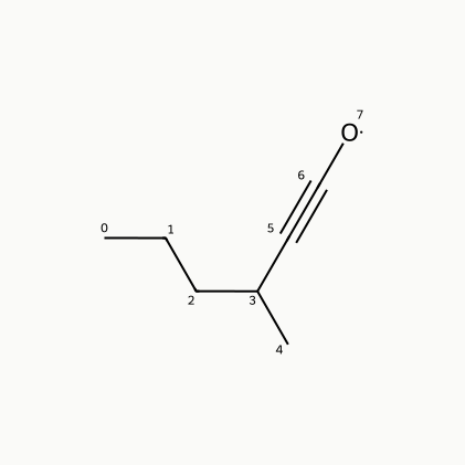 CCCC(C)C#C[O]